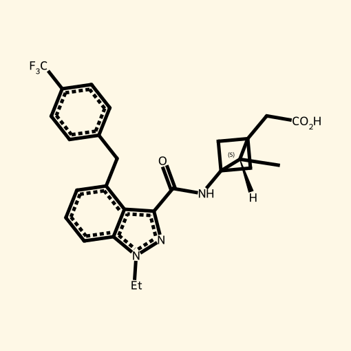 CCn1nc(C(=O)NC23CC(CC(=O)O)(C2)[C@@H]3C)c2c(Cc3ccc(C(F)(F)F)cc3)cccc21